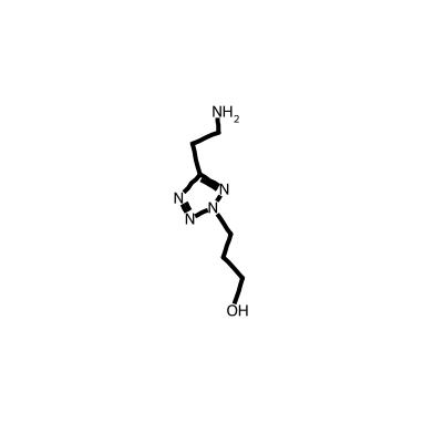 NCCc1nnn(CCCO)n1